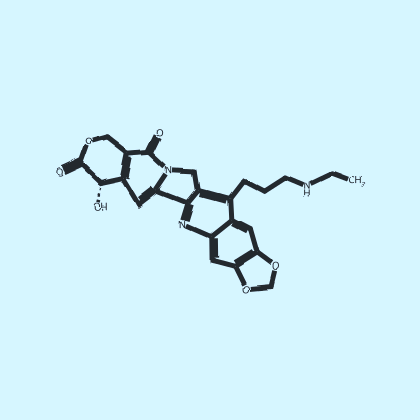 CCNCCCc1c2c(nc3cc4c(cc13)OCO4)-c1cc3c(c(=O)n1C2)COC(=O)[C@H]3O